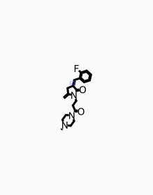 C=C1C/C(=C/c2ccccc2F)C(=O)N1CCC(=O)N1CCN(C)CC1